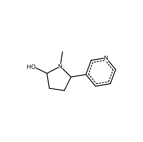 CN1C(O)CCC1c1cccnc1